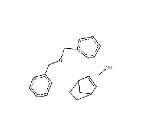 C1=CC2CCC1C2.CO.c1ccc(COCc2ccccc2)cc1